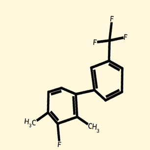 Cc1ccc(-c2cccc(C(F)(F)F)c2)c(C)c1F